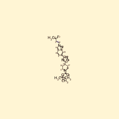 C=C(F)/C=C/n1cc2ccc(-c3noc(C4CCN(C(=O)OC(C)(C)C)CC4)n3)cc2n1